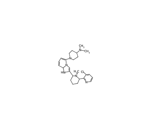 CN(C)C1CCN(C2=CC=CC3NC(C4CCCC(c5ncccc5Cl)N4C)=CN23)CC1